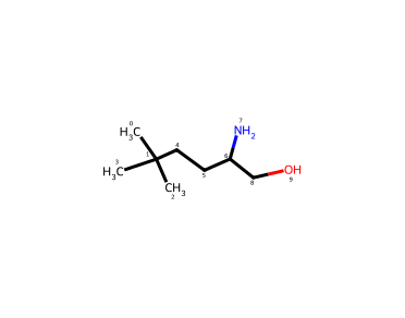 CC(C)(C)CCC(N)CO